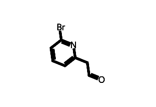 O=CCc1cccc(Br)n1